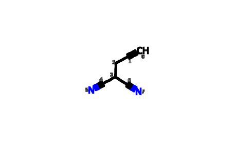 C#CCC(C#N)C#N